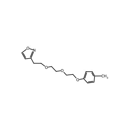 Cc1ccc(OCCOCCOCCc2ccon2)cc1